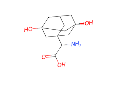 N[C@H](C(=O)O)C12CC3CC(O)(C1)C[C@](O)(C3)C2